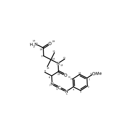 COc1ccc(N=C=NC(C)C(=O)N(C)C(C)(C)CC(N)=O)cc1